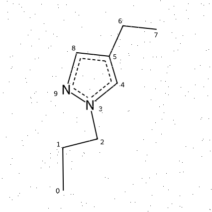 CCCn1cc(CC)cn1